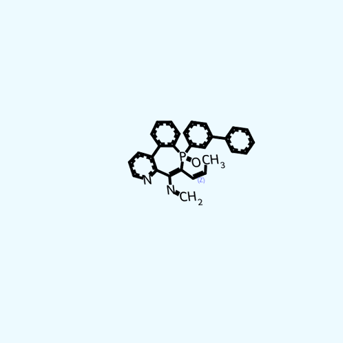 C=NC1=C(/C=C\C)P(=O)(c2cccc(-c3ccccc3)c2)c2ccccc2-c2cccnc21